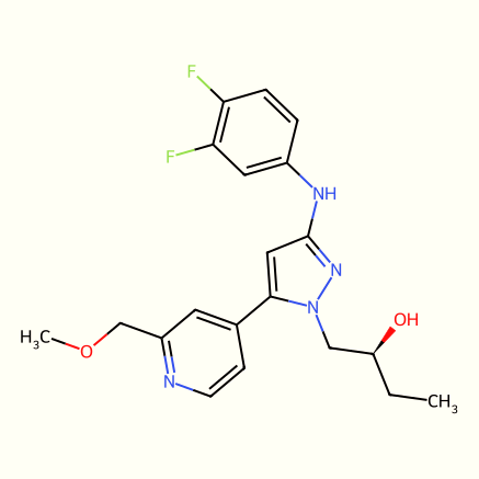 CC[C@H](O)Cn1nc(Nc2ccc(F)c(F)c2)cc1-c1ccnc(COC)c1